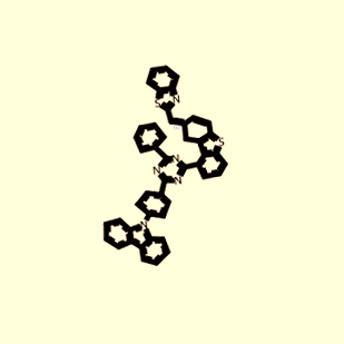 C1=Cc2sc3cccc(-c4nc(-c5ccccc5)nc(-c5ccc(-n6c7ccccc7c7ccccc76)cc5)n4)c3c2C/C1=C/c1nc2ccccc2s1